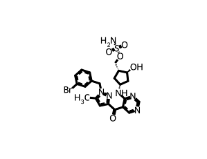 Cc1cc(C(=O)c2cncnc2N[C@@H]2C[C@H](COS(N)(=O)=O)[C@@H](O)C2)nn1Cc1cccc(Br)c1